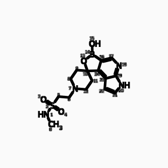 CNS(=O)(=O)CCN1CCC2(CC1)OB(O)c1cnc3[nH]ccc3c12